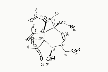 CC(=O)O[C@@]1(C(C)=O)[C@](OBr)(C(C)=O)O[C@H](CO)[C@@H](O)[C@@]1(O)C(C)=O